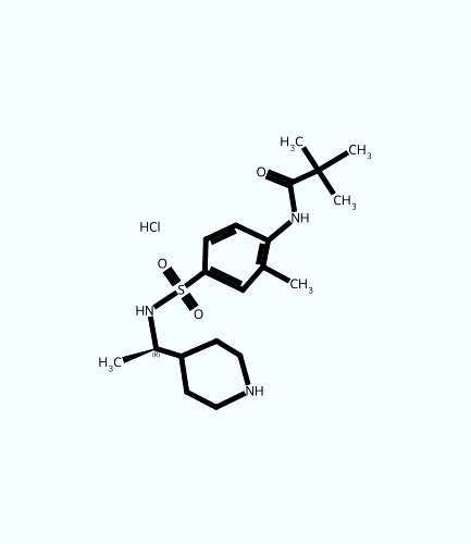 Cc1cc(S(=O)(=O)N[C@H](C)C2CCNCC2)ccc1NC(=O)C(C)(C)C.Cl